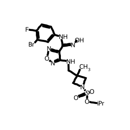 CC(C)OS(=O)(=O)N1CC(C)(CNc2nonc2/C(=N/O)Nc2ccc(F)c(Br)c2)C1